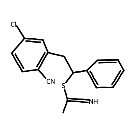 CC(=N)SC(Cc1cc(Cl)ccc1C#N)c1ccccc1